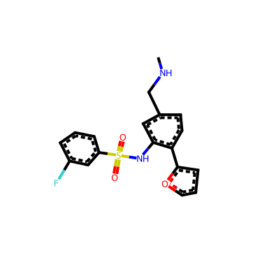 CNCc1ccc(-c2ccco2)c(NS(=O)(=O)c2cccc(F)c2)c1